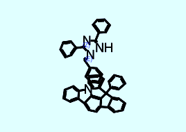 N=C(/N=C(\N=C\c1cccc(-n2c3ccccc3c3ccc4c(c32)C(c2ccccc2)(c2ccccc2)c2ccccc2-4)c1)c1ccccc1)c1ccccc1